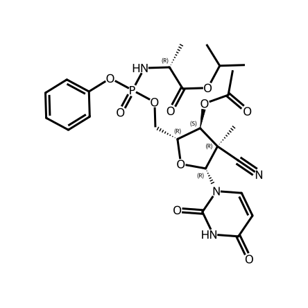 CC(=O)O[C@@H]1[C@@H](COP(=O)(N[C@H](C)C(=O)OC(C)C)Oc2ccccc2)O[C@@H](n2ccc(=O)[nH]c2=O)[C@]1(C)C#N